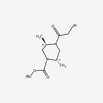 CC(C)CC(=O)N1C[C@H](C)N(C(=O)OC(C)(C)C)C[C@H]1C